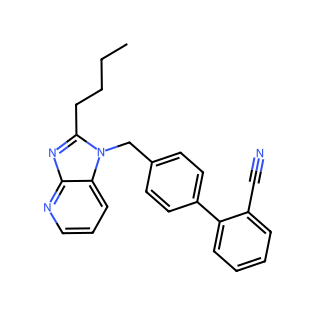 CCCCc1nc2ncccc2n1Cc1ccc(-c2ccccc2C#N)cc1